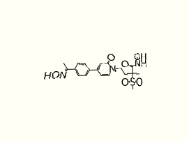 CC(=NO)c1ccc(-c2ccn(CCC(C)(C(=O)NO)S(C)(=O)=O)c(=O)c2)cc1